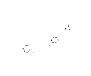 Cc1ccc(S(=O)(=O)OCCOCc2ccc(COC3=C(Cl)C(=O)N=C3)cc2)cc1